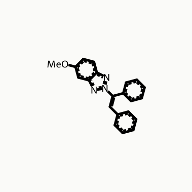 COc1ccc2nn(C(=Cc3ccccc3)c3ccccc3)nc2c1